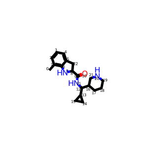 Cc1cccc2c1NC(C(=O)NC(C1CC1)C1CCCNC1)C2